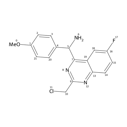 COc1ccc(C(N)c2nc(CCl)nc3ccc(F)cc23)cc1